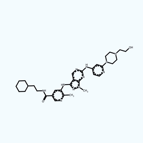 Cc1ncc(C(=O)NCCC2CCCCC2)cc1Nc1nn(C)c2nc(Nc3ccnc(N4CCN(CCO)CC4)c3)ncc12